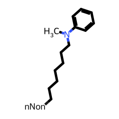 CCCCCCCCCCCCCCCCN(C)c1ccccc1